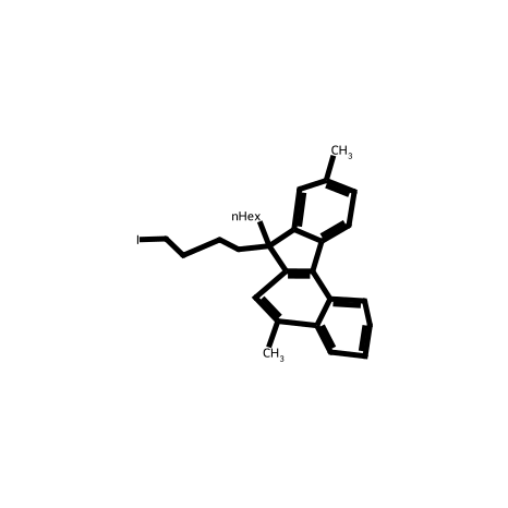 CCCCCCC1(CCCCI)c2cc(C)ccc2-c2c1cc(C)c1ccccc21